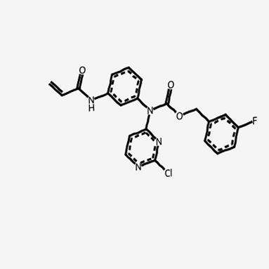 C=CC(=O)Nc1cccc(N(C(=O)OCc2cccc(F)c2)c2ccnc(Cl)n2)c1